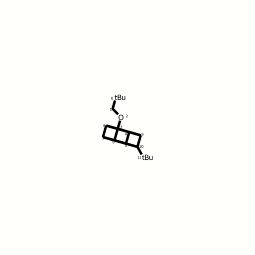 CC(C)(C)COC12C3C4C1C1C2C3C41C(C)(C)C